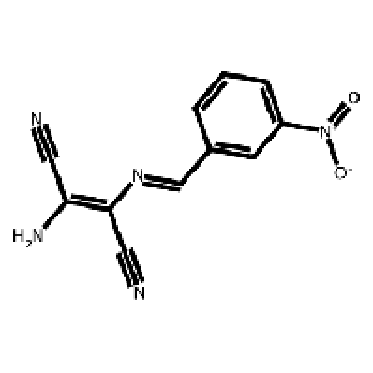 N#C/C(N)=C(C#N)\N=C\c1cccc([N+](=O)[O-])c1